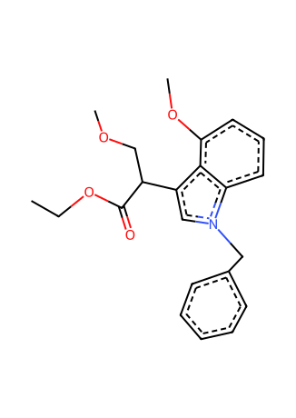 CCOC(=O)C(COC)c1cn(Cc2ccccc2)c2cccc(OC)c12